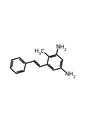 Cc1c(N)cc(N)cc1C=Cc1ccccc1